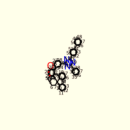 CC1C=C2CC(CCC23c2ccccc2-c2cccc(-c4cccc5oc6ccc(-c7nc(-c8ccccc8)nc(-c8ccc(-c9ccccc9)cc8)n7)cc6c45)c23)C1